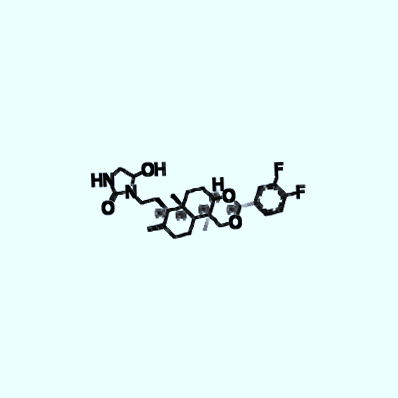 C=C1CCC2[C@]3(C)CO[C@@H](c4ccc(F)c(F)c4)O[C@@H]3CC[C@@]2(C)[C@@H]1CCN1C(=O)NCC1O